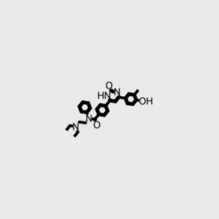 CCN(CC)CCN(C(=O)c1ccc(-c2cc(-c3ccc(O)c(C)c3)nc(=O)[nH]2)cc1)c1ccccc1